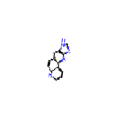 c1cnc2ccc3cc4[nH]cnc4nc3c2c1